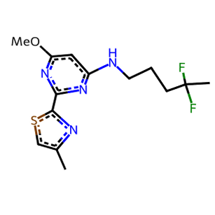 COc1cc(NCCCC(C)(F)F)nc(-c2nc(C)cs2)n1